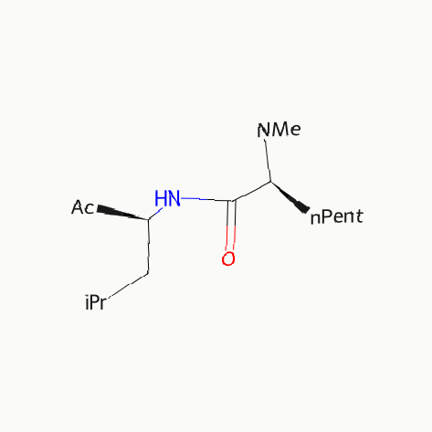 CCCCC[C@H](NC)C(=O)N[C@@H](CC(C)C)C(C)=O